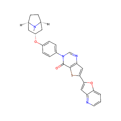 CN1[C@@H]2CC[C@H]1C[C@H](Oc1ccc(-n3cnc4cc(-c5cc6ncccc6o5)sc4c3=O)cc1)C2